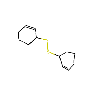 C1=CC(SSC2C=CCCC2)CCC1